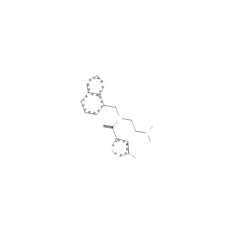 CCN(CC)CCN(Cc1cccc2[nH]cnc12)C(=O)c1cc(C(F)(F)F)n[nH]1